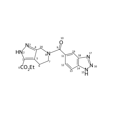 CCOC(=O)c1[nH]nc2c1CCN(C(=O)c1ccc3[nH]nnc3c1)C2